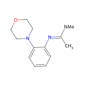 CN/C(C)=N/c1ccccc1N1CCOCC1